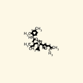 Cc1ccc(NC(=O)C[C@H](CC(C)C)c2nnc(-c3cc(CC(C)C)on3)n2C2CC2)c(C)c1